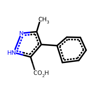 Cc1n[nH]c(C(=O)O)c1-c1ccccc1